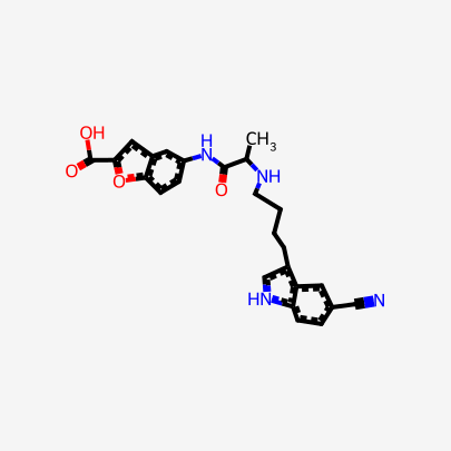 CC(NCCCCc1c[nH]c2ccc(C#N)cc12)C(=O)Nc1ccc2oc(C(=O)O)cc2c1